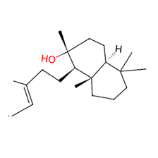 [CH2]C=C(C)CC[C@@H]1[C@@]2(C)CCCC(C)(C)[C@@H]2CC[C@@]1(C)O